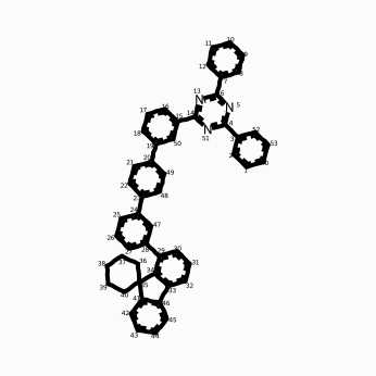 c1ccc(-c2nc(-c3ccccc3)nc(-c3cccc(-c4ccc(-c5cccc(-c6cccc7c6C6(CCCCC6)c6ccccc6-7)c5)cc4)c3)n2)cc1